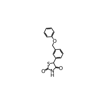 O=C1NC(=O)C(c2cccc(COc3ccccc3)c2)S1